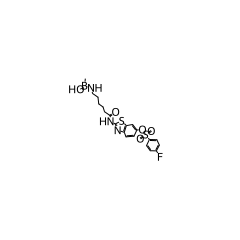 CB(O)NCCCCCC(=O)Nc1nc2ccc(OS(=O)(=O)c3ccc(F)cc3)cc2s1